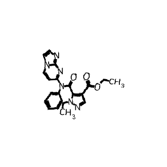 CCOC(=O)c1cnn(CC)c1C(=O)N(c1ccccc1)c1ccn2ccnc2n1